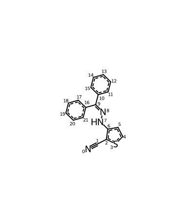 N#Cc1sccc1NN=C(c1ccccc1)c1ccccc1